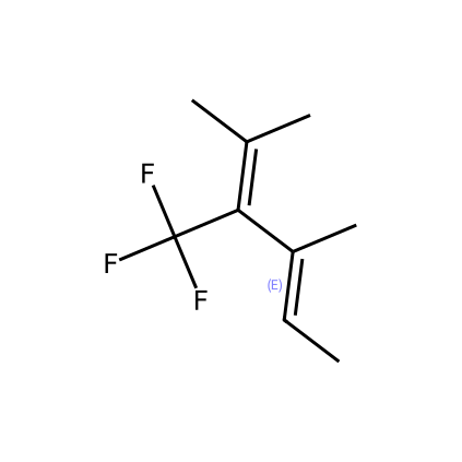 C/C=C(\C)C(=C(C)C)C(F)(F)F